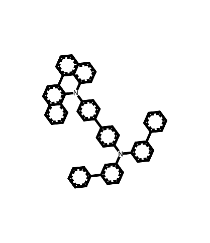 c1ccc(-c2cccc(N(c3ccc(-c4ccc(N5c6c(ccc7ccccc67)-c6cccc7cccc5c67)cc4)cc3)c3cccc(-c4ccccc4)c3)c2)cc1